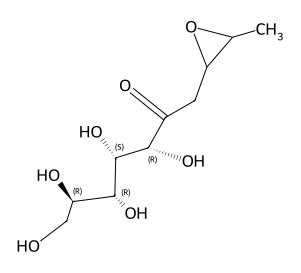 CC1OC1CC(=O)[C@H](O)[C@@H](O)[C@H](O)[C@H](O)CO